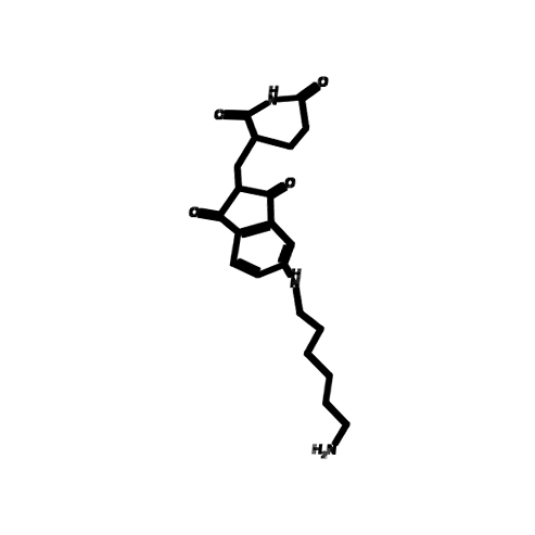 NCCCCCCNc1ccc2c(c1)C(=O)C(CC1CCC(=O)NC1=O)C2=O